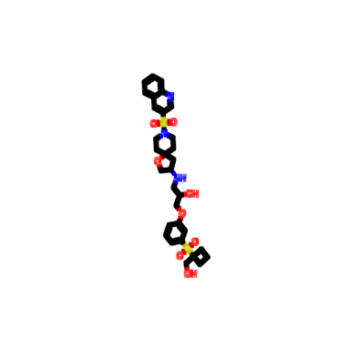 O=S(=O)(c1cnc2ccccc2c1)N1CCC2(CC1)C[C@@H](NCC(O)COc1cccc(S(=O)(=O)C3(CO)CCC3)c1)CO2